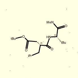 CNC(=O)[C@@H](NC(=O)[C@@H](CC(=O)OC(C)(C)C)CC(C)C)C(C)(C)C